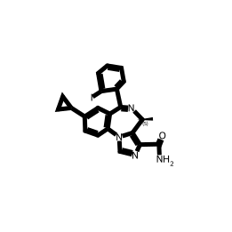 C[C@@H]1N=C(c2ccccc2I)c2cc(C3CC3)ccc2-n2cnc(C(N)=O)c21